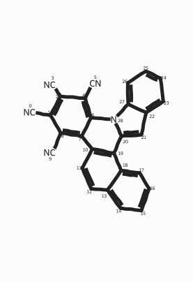 N#Cc1c(C#N)c(C#N)c2c(c1C#N)c1ccc3ccccc3c1c1cc3ccccc3n12